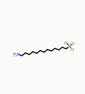 NCCCCCCCCCCCCC[Si](Cl)(Cl)Cl